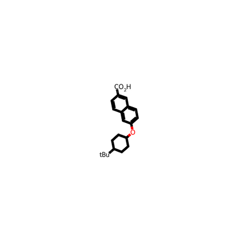 CC(C)(C)C1CCC(Oc2ccc3cc(C(=O)O)ccc3c2)CC1